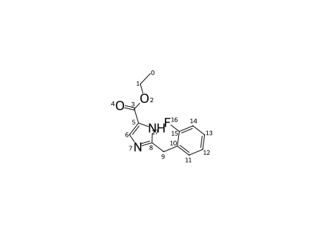 CCOC(=O)c1cnc(Cc2ccccc2F)[nH]1